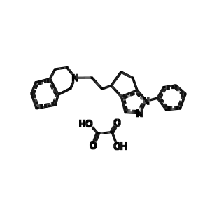 O=C(O)C(=O)O.c1ccc(-n2ncc3c2CCC3CCN2CCc3ccccc3C2)cc1